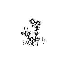 COc1cc(CN2CCNC(=O)C2)ccc1C(=O)N(C)CCN1CCC(OC(=O)Nc2ccccc2-c2ccccc2)CC1